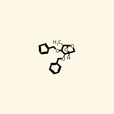 C[C@@H]1C2OC[C@@H](O2)[C@@H](OCc2ccccc2)C1OCc1ccccc1